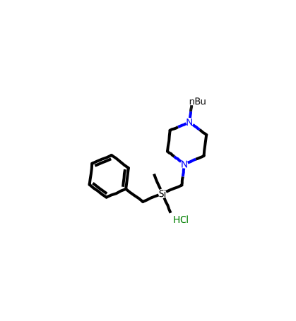 CCCCN1CCN(C[Si](C)(C)Cc2ccccc2)CC1.Cl